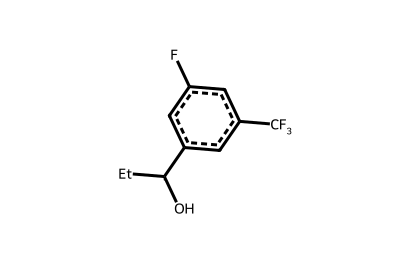 CC[C](O)c1cc(F)cc(C(F)(F)F)c1